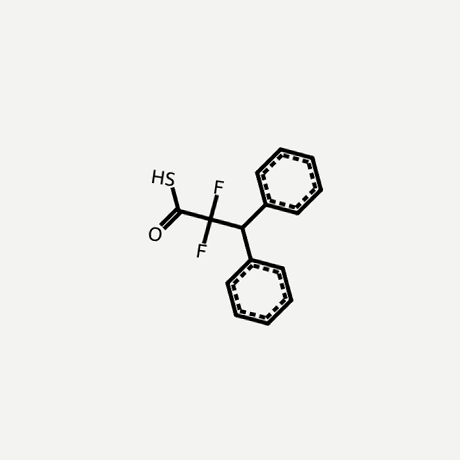 O=C(S)C(F)(F)C(c1ccccc1)c1ccccc1